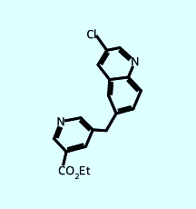 CCOC(=O)c1cncc(Cc2ccc3ncc(Cl)cc3c2)c1